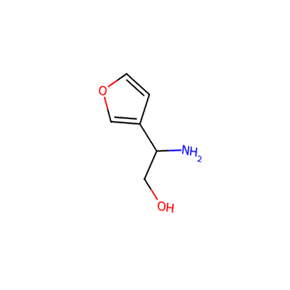 NC(CO)c1ccoc1